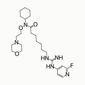 N=C(NCCCCCCC(=O)N(OCCN1CCOCC1)C1CCCCC1)Nc1ccnc(F)c1